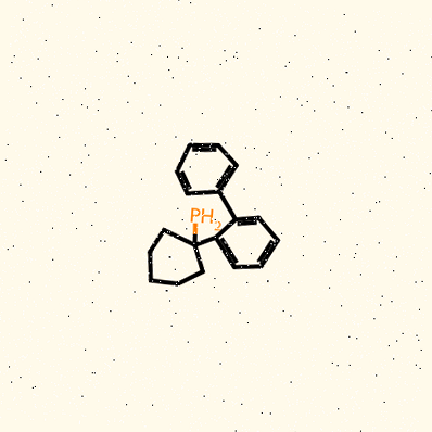 PC1(c2ccccc2-c2ccccc2)CCCCC1